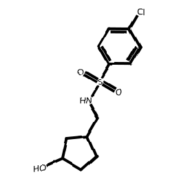 O=S(=O)(NCC1CCC(O)C1)c1ccc(Cl)cc1